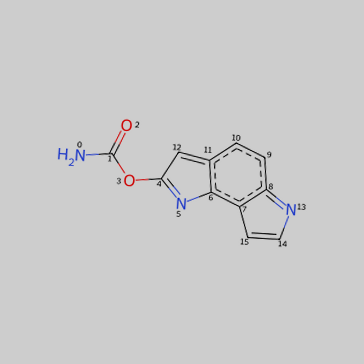 NC(=O)OC1=Nc2c3c(ccc2=C1)=NC=C3